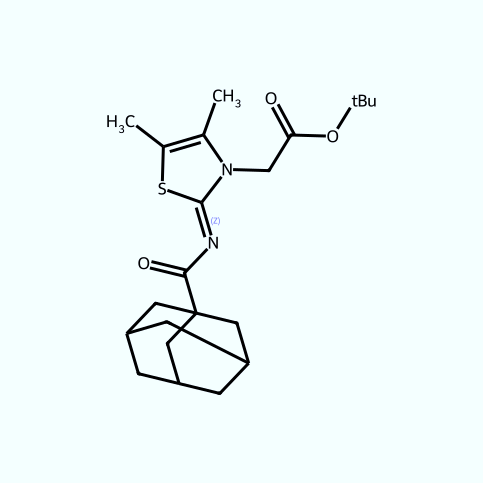 Cc1s/c(=N\C(=O)C23CC4CC(CC(C4)C2)C3)n(CC(=O)OC(C)(C)C)c1C